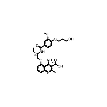 CC[C@@H](COc1cccc2nc(C)c(C(=O)O)c(N)c12)NC(=O)c1ccc(OCCCO)c(OC)c1